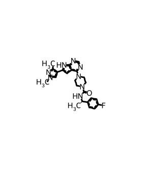 Cc1nn(C)cc1-c1cc2c(N3CCN(C(=O)N[C@@H](C)c4ccc(F)cc4)CC3)ncnc2[nH]1